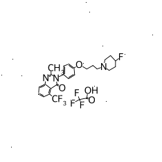 Cc1nc2cccc(C(F)(F)F)c2c(=O)n1-c1ccc(OCCCN2CCC(F)CC2)cc1.O=C(O)C(F)(F)F